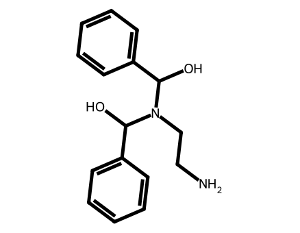 NCCN(C(O)c1ccccc1)C(O)c1ccccc1